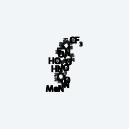 CNc1noc2cc(NC(=O)[C@H](O)[C@H]3OCCN(c4cc(C(F)(F)F)ccc4F)C3=O)ccc12